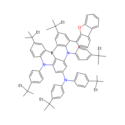 CCC(C)(C)c1ccc(N(c2ccc(C(C)(C)CC)cc2)c2cc3c4c(c2)N(c2ccc(C(C)(C)CC)cc2)c2c(cc(C(C)(C)CC)cc2-c2cccc5c2oc2ccccc25)B4c2cc(C(C)(C)CC)ccc2N3c2ccc(C(C)(C)CC)cc2)cc1